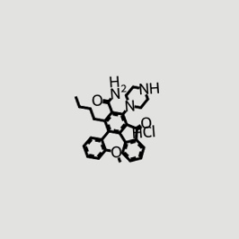 CCCCc1c(C(N)=O)c(N2CCNCC2)c2c(c1-c1ccccc1OC)-c1ccccc1C2=O.Cl